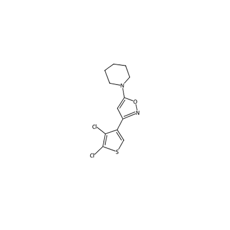 Clc1scc(-c2cc(N3CCCCC3)on2)c1Cl